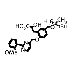 COc1ccccc1-c1nccc(COc2ccc(CO[Si](C)(C)C(C)(C)C)cc2CC(O)C(=O)O)n1